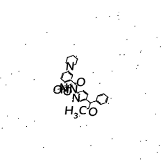 CC(=O)C(c1ccccc1)c1ccc(NC(=O)c2cc(N3CCCCC3)ccc2[N+](=O)[O-])nc1